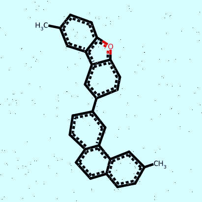 Cc1ccc2ccc3ccc(-c4ccc5oc6ccc(C)cc6c5c4)cc3c2c1